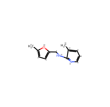 Cc1ccc(CNc2ncccc2C)o1